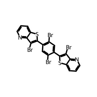 Brc1cc(-c2sc3cccnc3c2Br)c(Br)cc1-c1sc2cccnc2c1Br